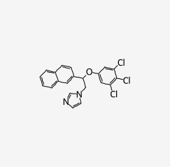 Clc1cc(OC(Cn2ccnc2)c2ccc3ccccc3c2)cc(Cl)c1Cl